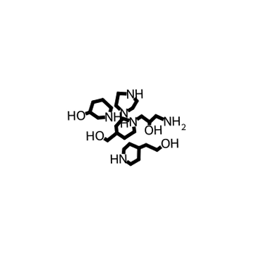 C1CNCCN1.NCC(O)CN1CCC(CO)CC1.OC1CCCNC1.OCCC1CCNCC1